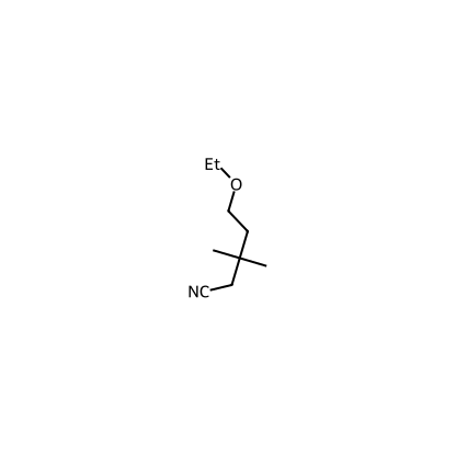 CCOCCC(C)(C)CC#N